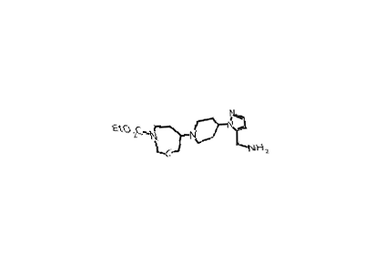 CCOC(=O)N1CCCC(N2CCC(n3nccc3CN)CC2)CC1